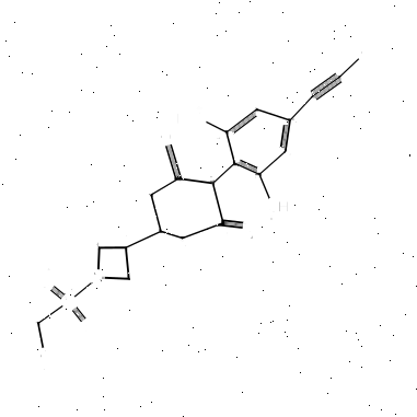 CC#Cc1cc(C)c(C2C(=O)CC(C3CN(S(=O)(=O)CC)C3)CC2=O)c(C)c1